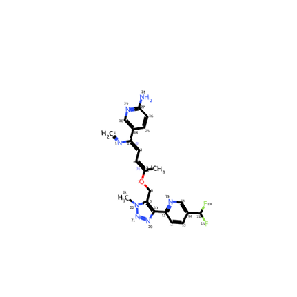 C=N/C(=C\C=C(/C)OCc1c(-c2ccc(C(F)F)cn2)nnn1C)c1ccc(N)nc1